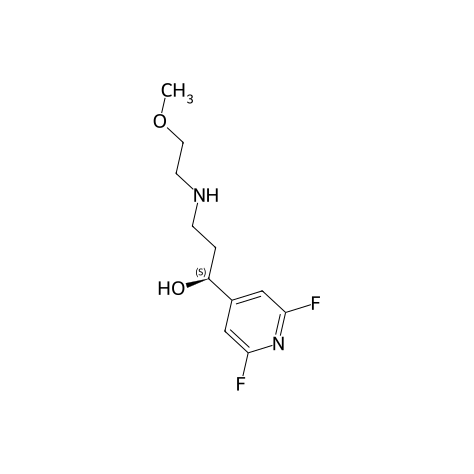 COCCNCC[C@H](O)c1cc(F)nc(F)c1